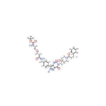 C[C@H](CC(=O)N1CCC(O)(Cn2cnc3c(-c4ccc(CNC(=O)CCOCCNC(=O)OC(C)(C)C)cc4)n(C)nc3c2=O)CC1)c1ccccc1